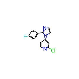 Fc1ccc(-c2nccn2-c2ccnc(Cl)c2)cc1